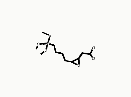 CO[Si](CCCCC1OC1CC(Cl)Cl)(OC)OC